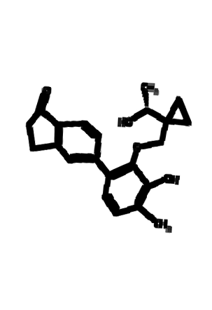 Cc1ccc(-c2ccc3c(c2)CCC3=O)c(OCC2([C@@H](C)O)CC2)c1O